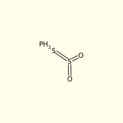 O=S(=O)=S.P